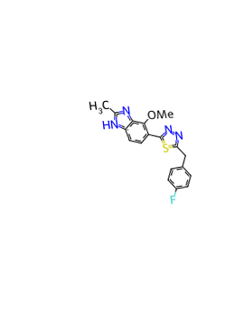 COc1c(-c2nnc(Cc3ccc(F)cc3)s2)ccc2[nH]c(C)nc12